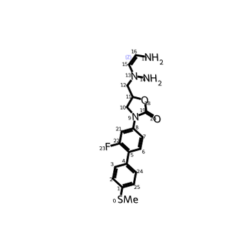 CSc1ccc(-c2ccc(N3CC(CN(N)/C=C\N)OC3=O)cc2F)cc1